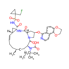 CC[C@@H]1C[C@@H](C)CCC=C[C@@H]2C[C@@]2(C(=O)NS(=O)(=O)C2(CF)CC2)NC(=O)[C@@H]2C[C@@H](Oc3nccc4c5c(ccc34)OCCO5)CN2C(=O)[C@H]1N(C(=O)O)C(C)(C)C